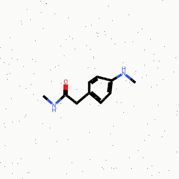 CNC(=O)Cc1ccc(NC)cc1